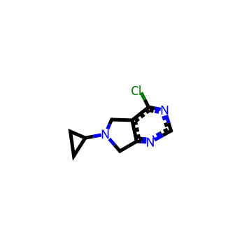 Clc1ncnc2c1CN(C1CC1)C2